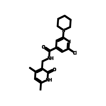 Cc1cc(C)c(CNC(=O)c2cc(Cl)nc(N3CCCCC3)c2)c(=O)[nH]1